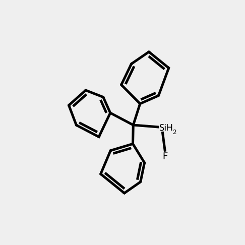 F[SiH2]C(c1ccccc1)(c1ccccc1)c1ccccc1